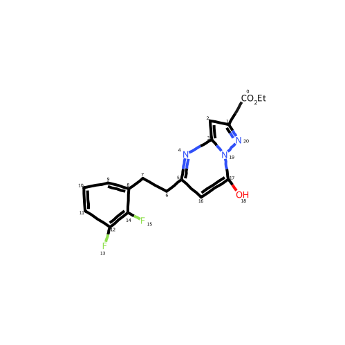 CCOC(=O)c1cc2nc(CCc3cccc(F)c3F)cc(O)n2n1